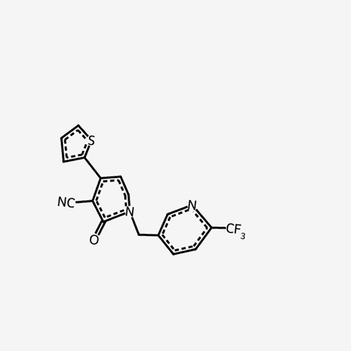 N#Cc1c(-c2cccs2)ccn(Cc2ccc(C(F)(F)F)nc2)c1=O